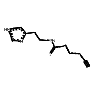 C#CCCCC(=O)NCCc1c[nH]cn1